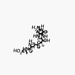 C[C@H](NC(=O)[C@H](N)CCC(=O)O[C@@H](C)[C@H](O)[C@H]1CNc2nc(N)[nH]c(=O)c2N1)C(=O)O